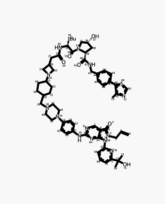 C=CCn1c(=O)c2cnc(Nc3ccc(N4CCN(CC5CCC(N6CC(CC(=O)N[C@H](C(=O)N7C[C@H](O)C[C@H]7C(=O)NCc7ccc(-c8scnc8C)cc7)C(C)(C)C)C6)CC5)CC4)cc3)nc2n1-c1cccc(C(C)(C)O)n1